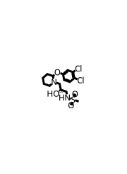 CS(=O)(=O)NC[C@@H](O)CN1CCCCC1Oc1ccc(Cl)c(Cl)c1